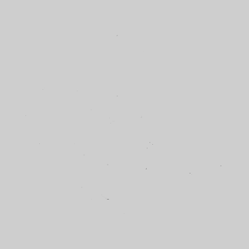 C1=C[CH]([Zr]([CH2][Si](c2ccccc2)(c2ccccc2)c2ccccc2)[CH]2C=CC=C2)C=C1